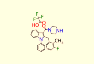 Cc1c(F)cccc1Cc1c(C(=O)N2CCNCC2)c2ccccc2n1-c1ccccc1.O=C(O)C(F)(F)F